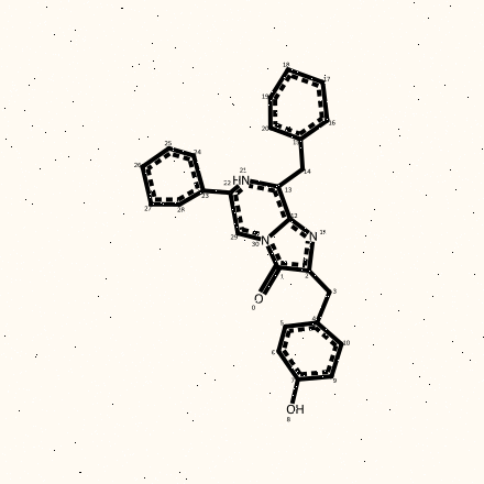 O=c1c(Cc2ccc(O)cc2)nc2c(Cc3ccccc3)[nH]c(-c3ccccc3)cn1-2